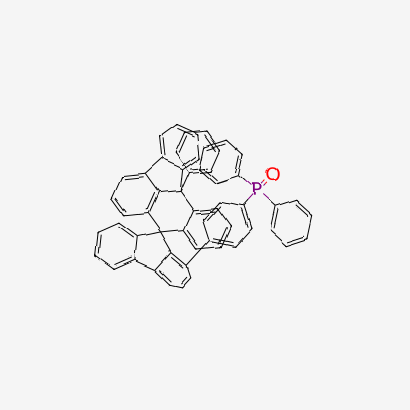 O=P(c1ccccc1)(c1ccccc1)c1ccc(-c2cccc3c2C2(c4ccccc4-3)c3ccccc3C3(c4ccccc4)c4ccccc4-c4cccc2c43)cc1